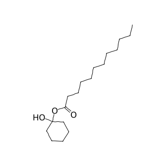 CCCCCCCCCCCC(=O)OC1(O)CCCCC1